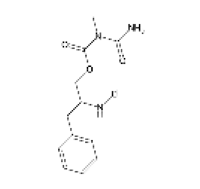 CN(C(N)=O)C(=O)OCC(Cc1ccccc1)NCl